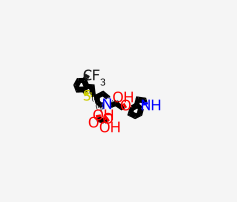 C[C@@H]1C[C@H](c2cc3c(C(F)(F)F)cccc3s2)CCN1C[C@H](O)COc1cccc2[nH]ccc12.O=C(O)C(=O)O